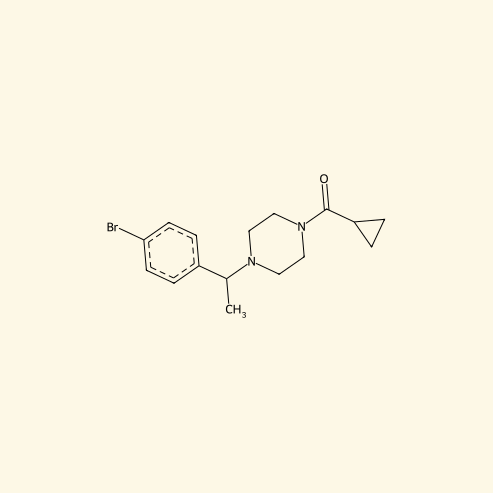 CC(c1ccc(Br)cc1)N1CCN(C(=O)C2CC2)CC1